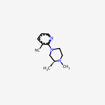 C[C@H]1CN(c2ncccc2C#N)CCN1C